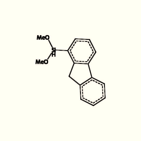 CO[SiH](OC)c1cccc2c1Cc1ccccc1-2